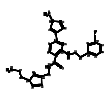 Cn1cc(-c2ccc(C(=O)NCc3ccn(CCN)n3)c(NCCc3cccc(F)c3)n2)cn1